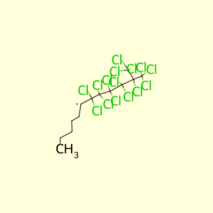 CCCCC[CH]C(Cl)(Cl)C(Cl)(Cl)C(Cl)(Cl)C(Cl)(Cl)C(Cl)(C(Cl)(Cl)Cl)C(Cl)(Cl)Cl